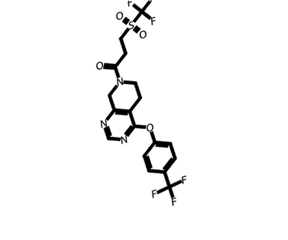 O=C(CCS(=O)(=O)C(F)(F)F)N1CCc2c(ncnc2Oc2ccc(C(F)(F)F)cc2)C1